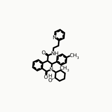 Cc1ccc(C2C(C(=O)NCCc3ccccn3)c3ccccc3C(=O)N2C2CCCC[C@@H]2O)c(C)c1